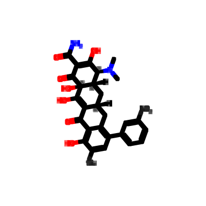 CN(C)[C@@H]1C(O)=C(C(N)=O)C(=O)[C@@]2(O)C(O)=C3C(=O)c4c(O)c(C(C)(C)C)cc(-c5cccc([N+](=O)[O-])c5)c4C[C@H]3C[C@@H]12